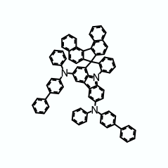 c1ccc(-c2ccc(N(c3ccccc3)c3ccc4c(c3)c3cc(N(c5ccccc5)c5ccc(-c6ccccc6)cc5)cc5c3n4-c3ccccc3C53c4ccc5ccccc5c4-c4c3ccc3ccccc43)cc2)cc1